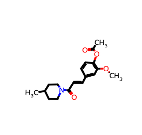 COc1cc(C=CC(=O)N2CCC(C)CC2)ccc1OC(C)=O